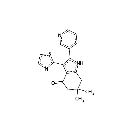 CC1(C)CC(=O)c2c([nH]c(-c3cccnc3)c2-c2nccs2)C1